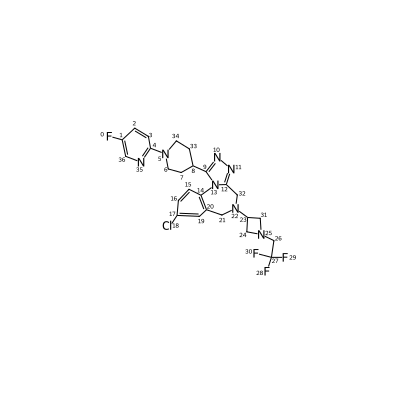 Fc1ccc(N2CCC(c3nnc4n3-c3ccc(Cl)cc3CN(C3CN(CC(F)(F)F)C3)C4)CC2)nc1